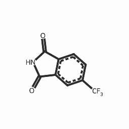 O=C1NC(=O)c2cc(C(F)(F)F)ccc21